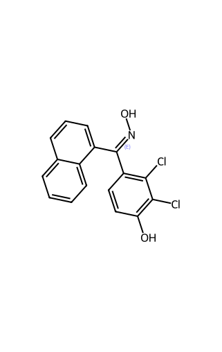 O/N=C(/c1ccc(O)c(Cl)c1Cl)c1cccc2ccccc12